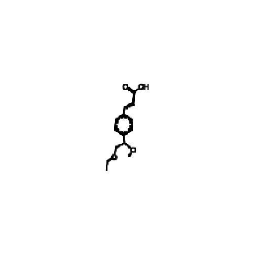 CCOCC(OC)c1ccc(C=CC(=O)O)cc1